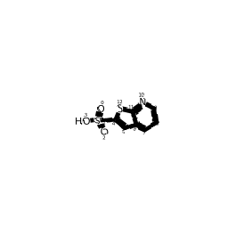 O=S(=O)(O)c1cc2cccnc2s1